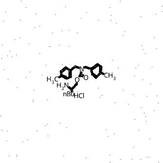 CCCCC(N)COC(=O)N(Cc1ccc(C)cc1)Cc1ccc(C)cc1.Cl